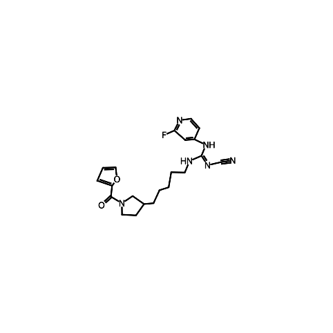 N#C/N=C(/NCCCCCC1CCN(C(=O)c2ccco2)C1)Nc1ccnc(F)c1